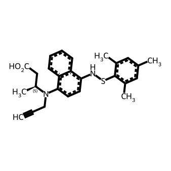 C#CCN(c1ccc(NSc2c(C)cc(C)cc2C)c2ccccc12)[C@@H](C)CC(=O)O